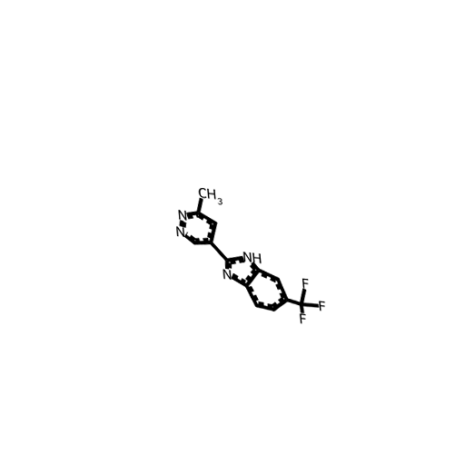 Cc1cc(-c2nc3ccc(C(F)(F)F)cc3[nH]2)cnn1